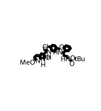 COc1ccc2cc(C(=O)Nc3cc(C(=O)NC(CCNC(=O)OC(C)(C)C)c4ccccc4)ccc3Cl)c(=O)[nH]c2n1